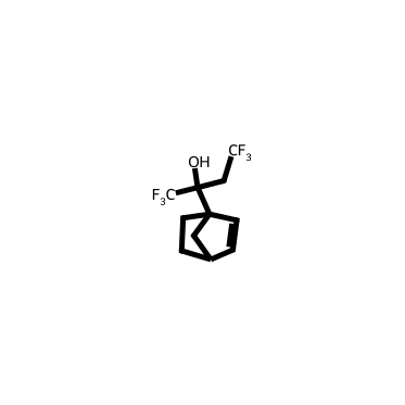 OC(CC(F)(F)F)(C(F)(F)F)C12C=CC(CC1)C2